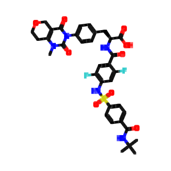 Cn1c2c(c(=O)n(-c3ccc(C[C@H](NC(=O)c4cc(F)c(NS(=O)(=O)c5ccc(C(=O)NC(C)(C)C)cc5)cc4F)C(=O)O)cc3)c1=O)COCC2